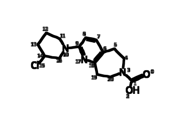 O=C(O)N1CCc2ccc(N3CCCC(Cl)C3)nc2CC1